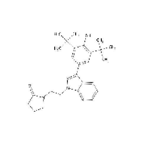 CC(C)(C)c1cc(-c2nn(CCN3CCCC3=O)c3ncccc23)cc(C(C)(C)C)c1O